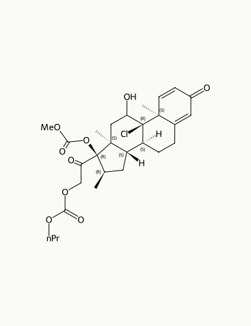 CCCOC(=O)OCC(=O)[C@@]1(OC(=O)OC)[C@H](C)C[C@H]2[C@@H]3CCC4=CC(=O)C=C[C@]4(C)[C@@]3(Cl)C(O)C[C@@]21C